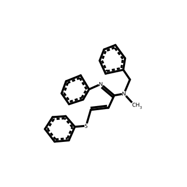 CN(Cc1ccccc1)C(C=CSc1ccccc1)=Nc1ccccc1